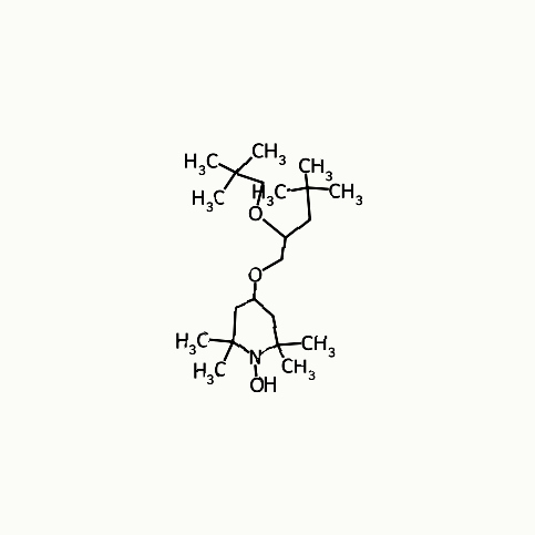 CC(C)(C)COC(COC1CC(C)(C)N(O)C(C)(C)C1)CC(C)(C)C